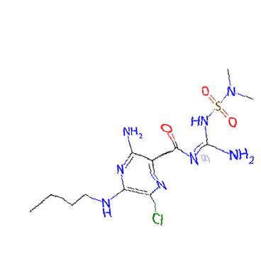 CCCCNc1nc(N)c(C(=O)/N=C(/N)NS(=O)(=O)N(C)C)nc1Cl